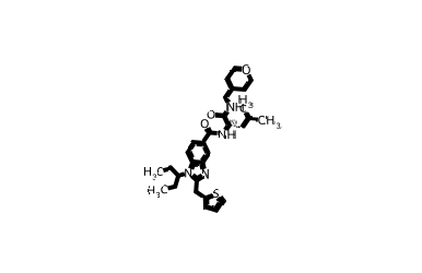 CCC(CC)n1c(Cc2cccs2)nc2cc(C(=O)N[C@@H](CC(C)C)C(=O)NCC3CCOCC3)ccc21